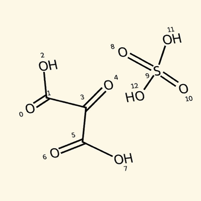 O=C(O)C(=O)C(=O)O.O=S(=O)(O)O